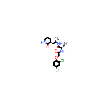 CC(C)C[C@H](NC(=O)COc1ccc(Cl)cc1Cl)C(=O)N[C@H](C#N)C[C@@H]1CCCNC1=O